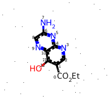 CCOC(=O)c1cnc2nc(N)cnc2c1O